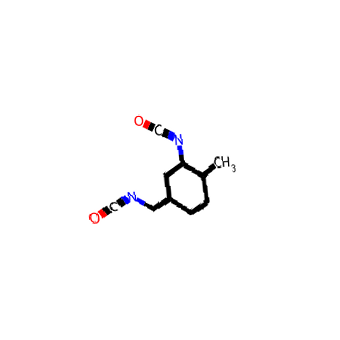 CC1CCC(CN=C=O)CC1N=C=O